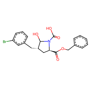 O=C(OCc1ccccc1)[C@H]1C[C@H](Cc2cccc(Br)c2)C(O)N1C(=O)O